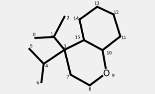 CC(C)C1(C(C)C)CCOC2CCCCC21